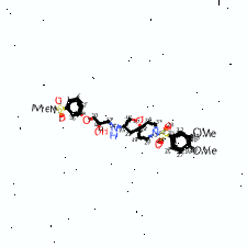 CNS(=O)(=O)c1cccc(OCC(O)CNC2COC3(CCN(S(=O)(=O)c4ccc(OC)c(OC)c4)CC3)C2)c1